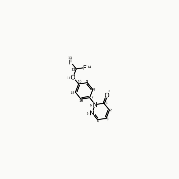 O=c1cccnn1-c1ccc(OC(F)F)cc1